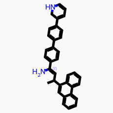 CC(/C=C(\N)c1ccc(-c2ccc(C3=CC=CNC3)cc2)cc1)c1cc2ccccc2c2ccccc12